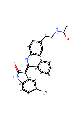 CC(O)NCCc1ccc(N/C(=C2\C(=O)Nc3ccc(C#N)cc32)c2ccccc2)cc1